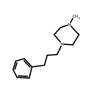 CN1CCN(C[CH]Cc2ccccc2)CC1